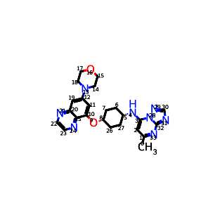 Cc1cc(N[C@H]2CC[C@@H](Oc3cc(N4CCOCC4)cc4nccnc34)CC2)n2ncnc2n1